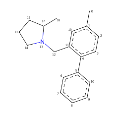 Cc1ccc(-c2ccccc2)c(CN2CCCC2C)c1